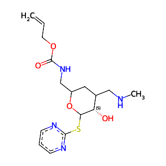 C=CCOC(=O)NCC1CC(CNC)[C@H](O)C(Sc2ncccn2)O1